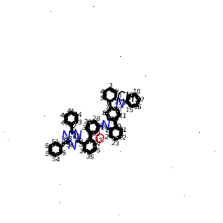 CC12C=CC=CC1c1cc3c(cc1N2c1ccccc1)c1ccccc1n3-c1cccc2c1oc1cccc(-c3nc(-c4ccccc4)nc(-c4ccccc4)n3)c12